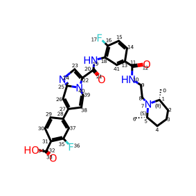 C[C@@H]1CCC[C@H](C)N1CCNC(=O)c1ccc(F)c(NC(=O)c2cnc3cc(-c4ccc(C(=O)O)c(F)c4)ccn23)c1